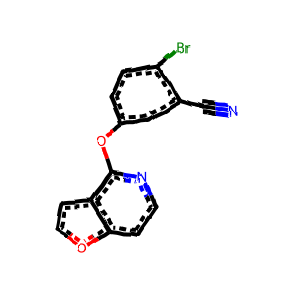 N#Cc1cc(Oc2nccc3occc23)ccc1Br